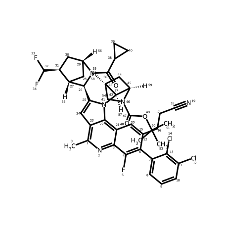 Cc1nc2c(F)c(-c3cccc(Cl)c3Cl)c(CCC#N)cc2c2c1cc([C@H]1[C@H]3C[C@H](C[C@@H]3C(F)F)N1C(=O)C1CC1)n2[C@H]1[C@@H]2C[C@H]1N(C(=O)OC(C)(C)C)C2